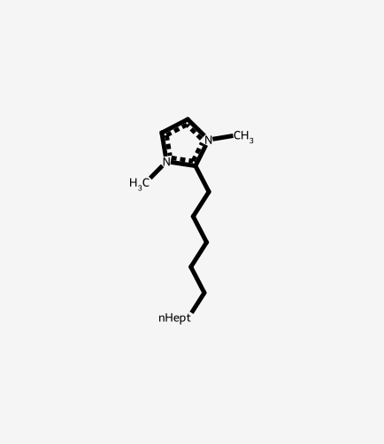 CCCCCCCCCCCCc1n(C)cc[n+]1C